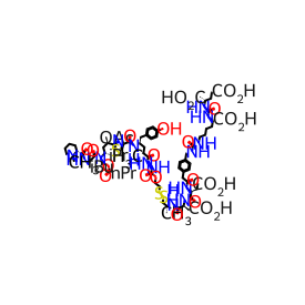 CCCC(=O)OCN(C(=O)[C@@H](NC(=O)[C@H]1CCCCN1C)C(C)CC)[C@H](C[C@@H](OC(C)=O)c1nc(C(=O)N[C@@H](Cc2ccc(O)cc2)C[C@H](C)C(=O)NNC(=O)OCCSSC[C@@H](C)NC(=O)[C@H](CC(=O)O)NC(=O)[C@H](CC(=O)O)NC(=O)Cc2ccc(CNC(=O)NCCCCC(NC(=O)N[C@@H](CCC(=O)O)C(=O)O)C(=O)O)cc2)cs1)C(C)C